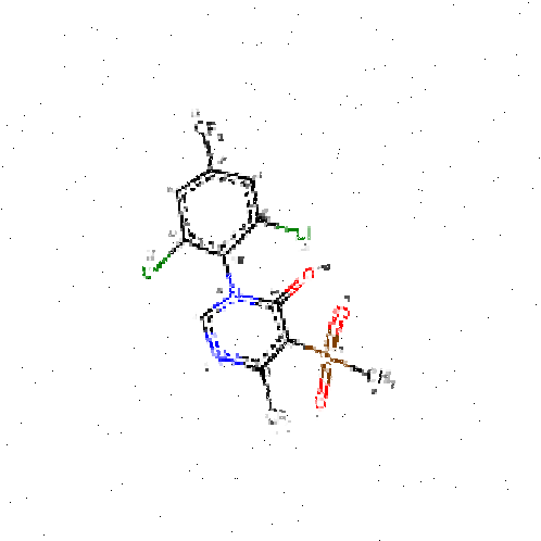 CS(=O)(=O)c1c(C(F)(F)F)ncn(-c2c(Cl)cc(C(F)(F)F)cc2Cl)c1=O